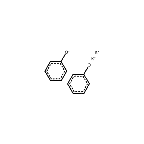 [K+].[K+].[O-]c1ccccc1.[O-]c1ccccc1